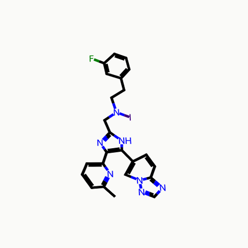 Cc1cccc(-c2nc(CN(I)CCc3cccc(F)c3)[nH]c2-c2ccc3ncnn3c2)n1